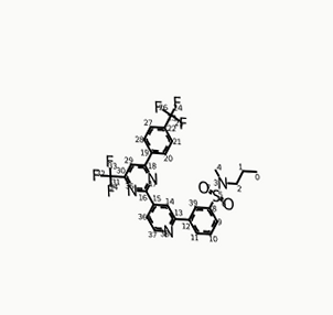 CCCN(C)S(=O)(=O)c1cccc(-c2cc(-c3nc(-c4ccc(C(F)(F)F)cc4)cc(C(F)(F)F)n3)ccn2)c1